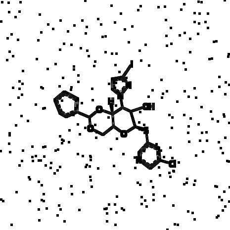 OC1C(n2ccc(I)n2)[C@H]2OC(c3ccccc3)OCC2O[C@@H]1Sc1cncc(Cl)c1